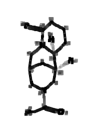 CC(C)C(=O)N1CC2C[C@H](C1)[C@@H]1CCCC(=O)N1C2